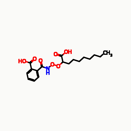 CCCCCCCCC(OONC(=O)c1ccccc1C(=O)O)C(=O)O